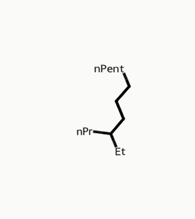 CCCCCCCC[C](CC)CCC